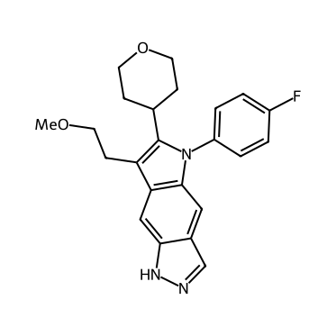 COCCc1c(C2CCOCC2)n(-c2ccc(F)cc2)c2cc3cn[nH]c3cc12